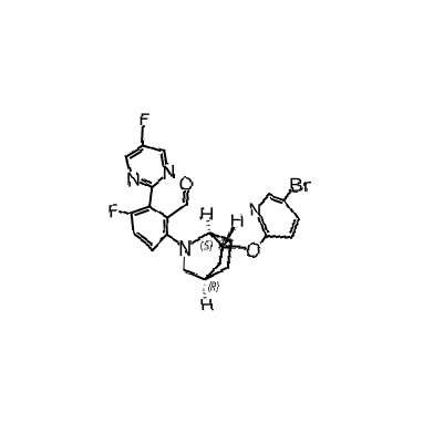 O=Cc1c(N2C[C@@H]3CC[C@H]2[C@H](Oc2ccc(Br)cn2)C3)ccc(F)c1-c1ncc(F)cn1